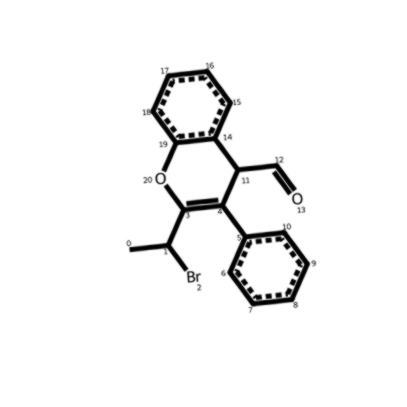 CC(Br)C1=C(c2ccccc2)C(C=O)c2ccccc2O1